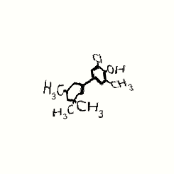 Cc1cc(C2CC(C)CC(C)(C)C2)cc(Cl)c1O